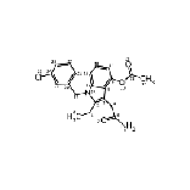 CCc1c(CC(N)=O)c2c(OC(C)=O)cccc2n1Cc1cccc(Cl)c1